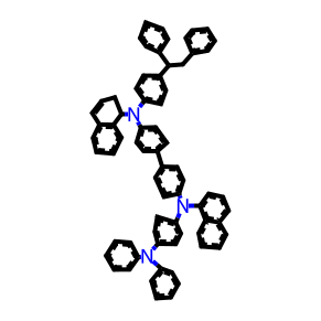 C1=Cc2ccccc2C(N(c2ccc(-c3ccc(N(c4ccc(N(c5ccccc5)c5ccccc5)cc4)c4cccc5ccccc45)cc3)cc2)c2ccc(C(Cc3ccccc3)c3ccccc3)cc2)C1